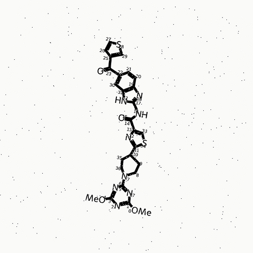 COc1nc(OC)nc(N2CCC(c3nc(C(=O)Nc4nc5ccc(C(=O)c6ccsc6)cc5[nH]4)cs3)CC2)n1